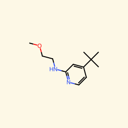 COCCNc1cc(C(C)(C)C)ccn1